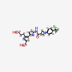 O=C(Nc1nc(-c2sc(CO)nc2CCCO)cs1)C1CN(c2ccc(C(F)(F)F)cc2)C1